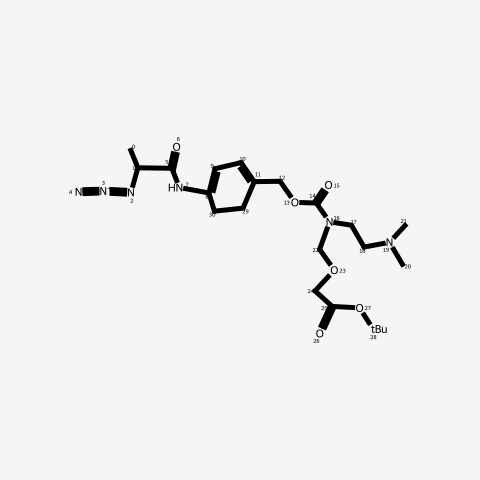 CC(N=[N+]=[N-])C(=O)NC1=CC=C(COC(=O)N(CCN(C)C)COCC(=O)OC(C)(C)C)CC1